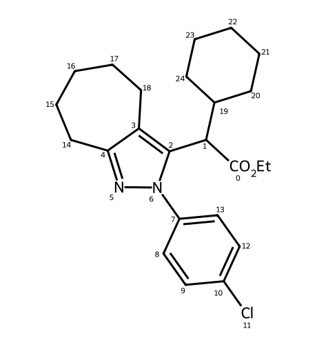 CCOC(=O)C(c1c2c(nn1-c1ccc(Cl)cc1)CCCCC2)C1CCCCC1